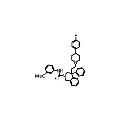 COc1cccc(NC(=O)N2Cc3ccccc3C(CCN3CCC(c4ccc(F)cc4)CC3)(c3ccccc3)C2)c1